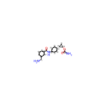 NCc1cccc(C(=O)Nc2ccc([C@@H]3C[C@H]3OC(N)=O)cc2)c1